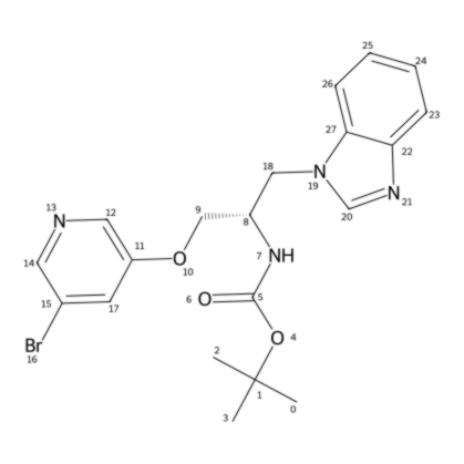 CC(C)(C)OC(=O)N[C@H](COc1cncc(Br)c1)Cn1cnc2ccccc21